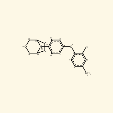 Cc1cc(N)ccc1Oc1cnc(N2C3CCC2COC3)nc1